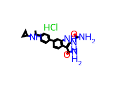 CC(NC1CC1)c1ccc(-c2ccc3c(C(N)=O)c(NC(N)=O)[nH]c3c2)cc1.Cl